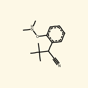 C[SiH](C)Oc1ccccc1C(C#N)C(C)(C)C